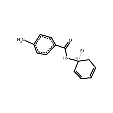 CC[C@@]1(NC(=O)c2ccc(N)cc2)C=CC=CC1